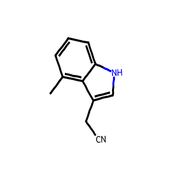 Cc1cccc2[nH]cc(CC#N)c12